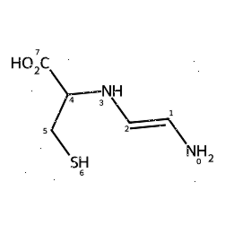 NC=CNC(CS)C(=O)O